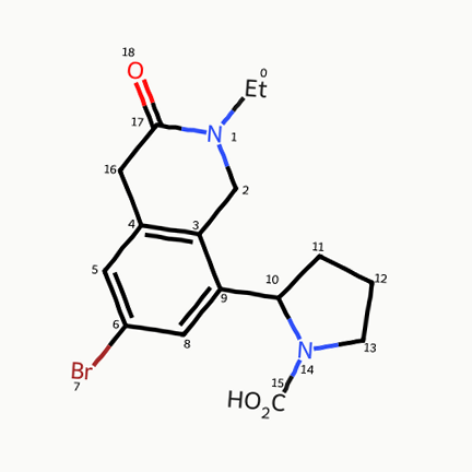 CCN1Cc2c(cc(Br)cc2C2CCCN2C(=O)O)CC1=O